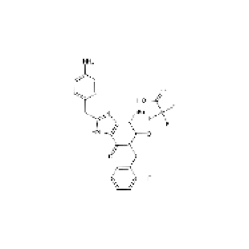 CCCCn1c(=O)n(Cc2ccccc2F)c(=O)c2[nH]c(Cc3ccc(N)cc3)nc21.O=C(O)C(F)(F)F